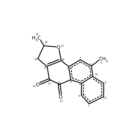 Cc1cc2c(c3ccccc13)C(=O)C(=O)C1=C2OC(C)C1